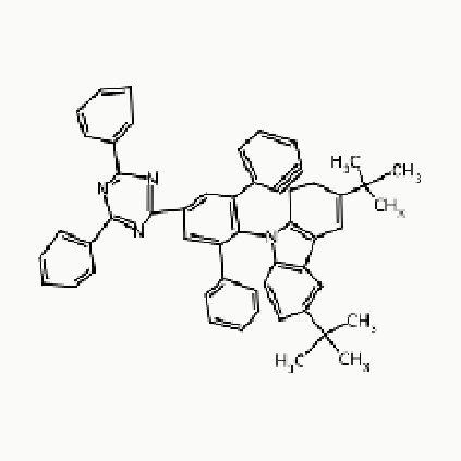 CC(C)(C)C1=Cc2c(n(-c3c(-c4c#cccc4)cc(-c4nc(-c5ccccc5)nc(-c5ccccc5)n4)cc3-c3ccccc3)c3ccc(C(C)(C)C)cc23)CC1